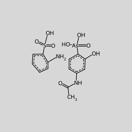 CC(=O)Nc1ccc([As](=O)(O)O)c(O)c1.Nc1ccccc1S(=O)(=O)O